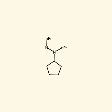 CCC[N]N(CCC)C1CCCC1